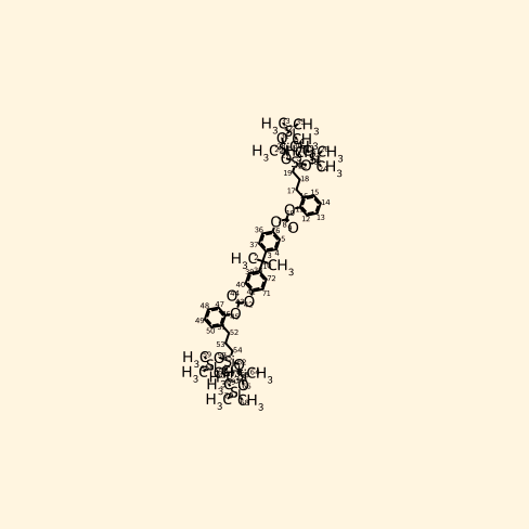 CC(C)(c1ccc(OC(=O)Oc2ccccc2CCC[Si](C)(O[Si](C)(C)C)O[Si](C)(C)O[Si](C)(C)C)cc1)c1ccc(OC(=O)Oc2ccccc2CCC[Si](C)(O[Si](C)(C)C)O[Si](C)(C)O[Si](C)(C)C)cc1